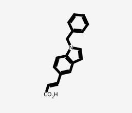 O=C(O)/C=C/c1ccc2c(ccn2Cc2ccccc2)c1